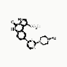 CCOC(=O)c1c[nH]c2c(=O)[nH]c3ccc(-c4ccnc(N5CCN(C(C)=O)CC5)n4)cc3c12